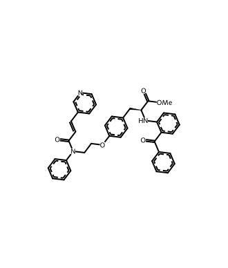 COC(=O)[C@H](Cc1ccc(OCCN(C(=O)/C=C/c2cccnc2)c2ccccc2)cc1)Nc1ccccc1C(=O)c1ccccc1